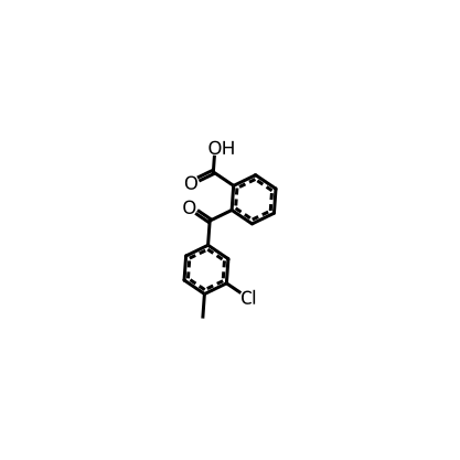 Cc1ccc(C(=O)c2ccccc2C(=O)O)cc1Cl